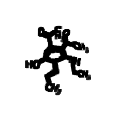 CCCc1c(O)cc(C(C)=O)c(C(C)=O)c1NCC